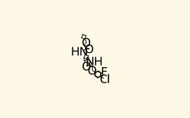 O=C(COC1CCC1)NC1CC2(NC(=O)COc3ccc(Cl)c(F)c3)CC12